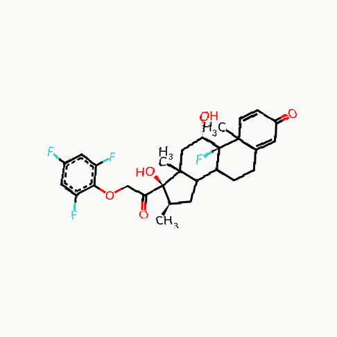 C[C@@H]1CC2C3CCC4=CC(=O)C=CC4(C)[C@@]3(F)[C@@H](O)CC2(C)[C@@]1(O)C(=O)COc1c(F)cc(F)cc1F